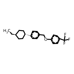 CC[C@H]1CC[C@H](c2ccc(COc3ccc(C(F)(F)F)cc3)cc2)CC1